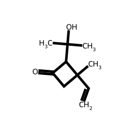 C=CC1(C)CC(=O)C1C(C)(C)O